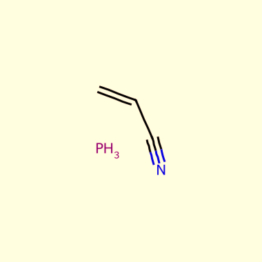 C=CC#N.P